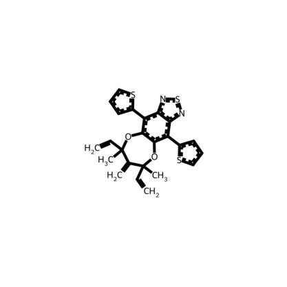 C=CC1(C)Oc2c(c(-c3cccs3)c3nsnc3c2-c2cccs2)OC(C)(C=C)C1=C